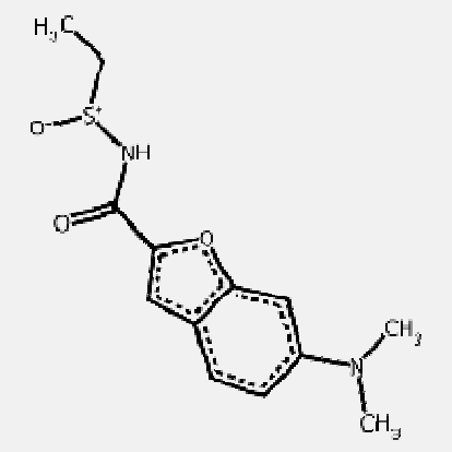 CC[S+]([O-])NC(=O)c1cc2ccc(N(C)C)cc2o1